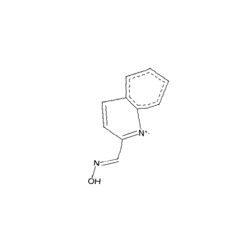 ON=CC1=[N+]c2ccccc2C=C1